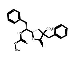 CCOC(=O)C1(Cc2ccccc2)C[C@@H]([C@H](Cc2ccccc2)NC(=O)OC(C)(C)C)OC1=O